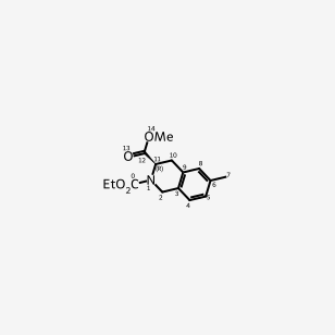 CCOC(=O)N1Cc2ccc(C)cc2C[C@@H]1C(=O)OC